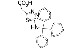 O=C(O)Cc1nnc(NC(c2ccccc2)(c2ccccc2)c2ccccc2)s1